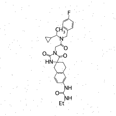 CCNC(=O)Nc1ccc2c(c1)CCC1(C2)NC(=O)N(CC(=O)N(Cc2ccc(F)cc2)C(C)C2CC2)C1=O